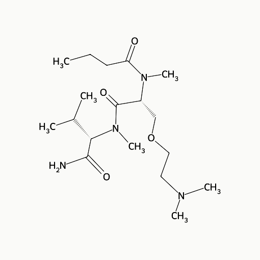 CCCC(=O)N(C)[C@H](COCCN(C)C)C(=O)N(C)[C@H](C(N)=O)C(C)C